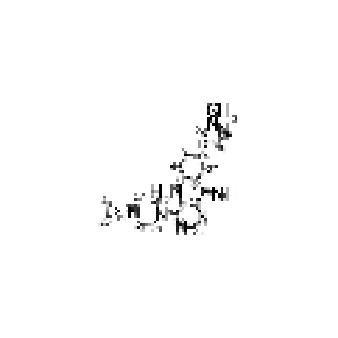 Cn1cc(-c2ccc(N)c(C(=N)c3cc(N4CCN(C5CC5)CC4)ncn3)c2)cn1